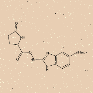 CCCCCCc1ccc2[nH]c(NOC(=O)C3CCC(=O)N3)nc2c1